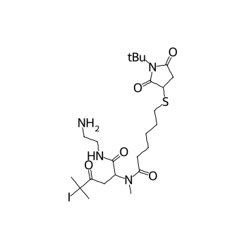 CN(C(=O)CCCCCSC1CC(=O)N(C(C)(C)C)C1=O)C(CC(=O)C(C)(C)I)C(=O)NCCN